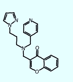 O=c1c(CN(CCCn2cccn2)Cc2ccncc2)coc2ccccc12